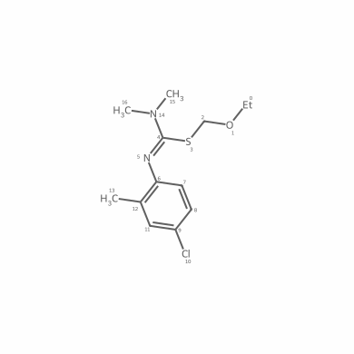 CCOCSC(=Nc1ccc(Cl)cc1C)N(C)C